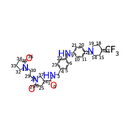 O=C(NCc1ccc(Nc2ccc(N3CCC(C(F)(F)F)CC3)cc2)cc1)C1CC(=O)N(CCN2CCCC2=O)C1